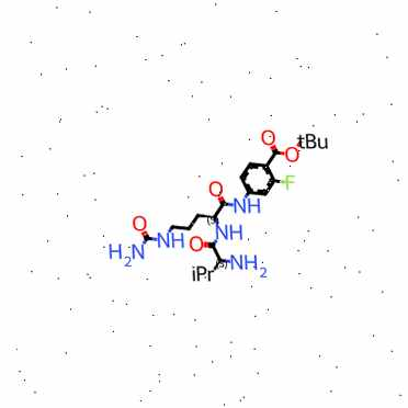 CC(C)[C@H](N)C(=O)N[C@@H](CCCNC(N)=O)C(=O)Nc1ccc(C(=O)OC(C)(C)C)c(F)c1